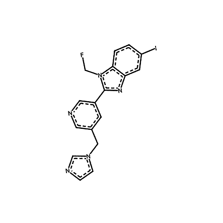 FCn1c(-c2cncc(Cn3ccnc3)c2)nc2cc(I)ccc21